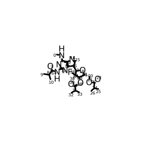 CNc1nc(NC(=O)C(C)C)nc2c1N=CC2C1O[C@H](COC(=O)C(C)C)[C@@H](OC(=O)C(C)C)[C@@]1(C)F